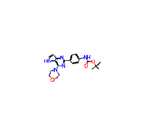 CC(C)(C)OC(=O)Nc1ccc(-c2nc(N3CCOCC3)c3[nH]ccc3n2)cc1